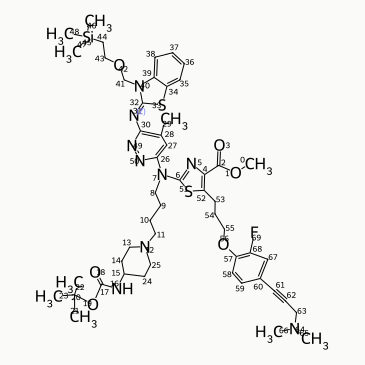 COC(=O)c1nc(N(CCCCN2CCC(NC(=O)OC(C)(C)C)CC2)c2cc(C)c(/N=c3\sc4ccccc4n3COCC[Si](C)(C)C)nn2)sc1CCCOc1ccc(C#CCN(C)C)cc1F